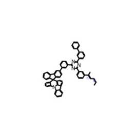 C/C=C\C=C(/C)c1cccc(-c2nc(-c3cccc(-c4ccccc4)c3)nc(-c3cccc(-c4ccc5c(c4)-c4ccccc4C54c5ccccc5-n5c6ccccc6c6cccc4c65)c3)n2)c1